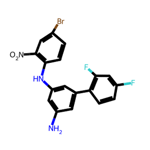 Nc1cc(Nc2ccc(Br)cc2[N+](=O)[O-])cc(-c2ccc(F)cc2F)c1